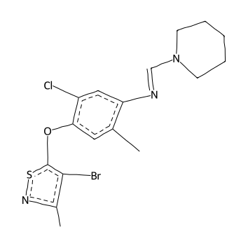 Cc1cc(Oc2snc(C)c2Br)c(Cl)cc1N=CN1CCCCC1